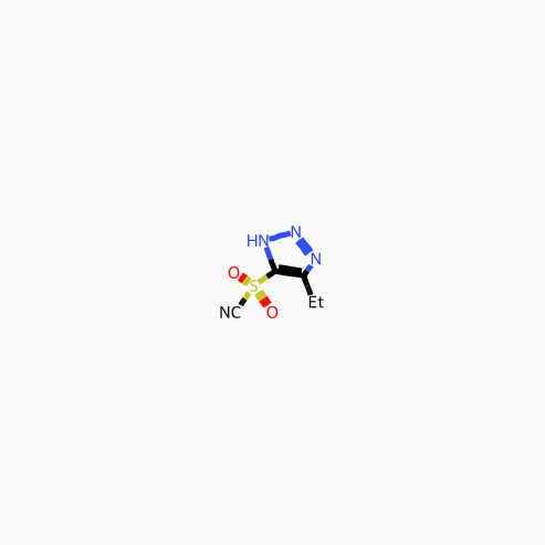 CCc1nn[nH]c1S(=O)(=O)C#N